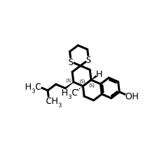 CC(C)CC[C@H]1CC2(C[C@@H]3c4ccc(O)cc4CC[C@@]13C)SCCCS2